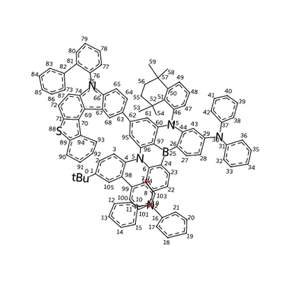 CC(C)(C)c1ccc(N2c3cc(N(c4ccccc4)c4ccccc4)ccc3B3c4ccc(N(c5ccccc5)c5ccccc5)cc4N(c4cccc5c4C(C)(C)CCC5(C)C)c4cc(-c5ccc6c(c5)c5c7c(ccc5n6-c5ccccc5-c5ccccc5)sc5ccccc57)cc2c43)c(-c2ccccc2)c1